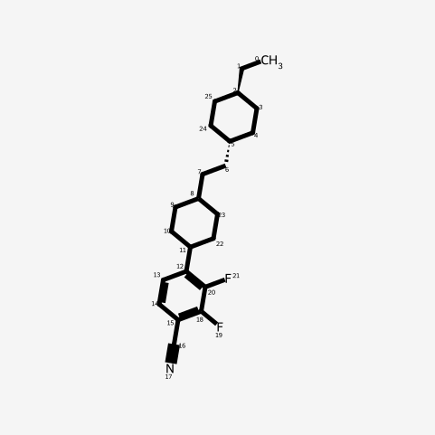 CC[C@H]1CC[C@H](CCC2CCC(c3ccc(C#N)c(F)c3F)CC2)CC1